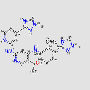 CCC(=O)c1cnc(Nc2cc(-c3ncn(C)n3)ccn2)cc1Nc1cccc(-c2ncn(C)n2)c1OC